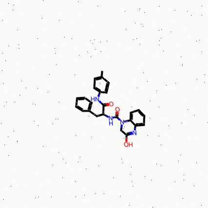 Cc1ccc(NC(=O)C(Cc2ccccc2)NC(=O)N2CC(O)=Nc3ccccc32)cc1